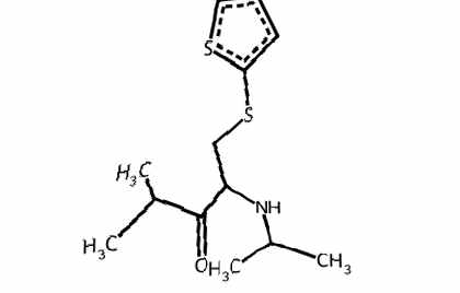 CC(C)NC(CSc1cccs1)C(=O)C(C)C